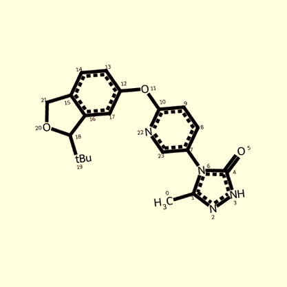 Cc1n[nH]c(=O)n1-c1ccc(Oc2ccc3c(c2)C(C(C)(C)C)OC3)nc1